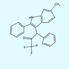 Cc1ccc2c(C(C(=O)C(F)(F)F)c3ccccc3)c(-c3ccccc3)[nH]c2c1